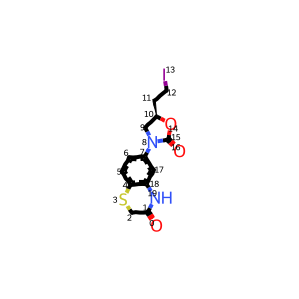 O=C1CSc2ccc(N3C[C@@H](CCI)OC3=O)cc2N1